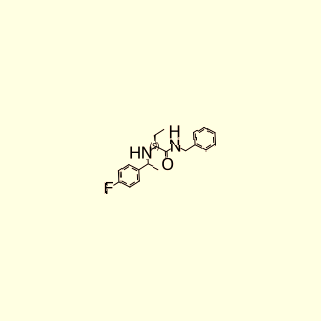 CC[C@H](NC(C)c1ccc(F)cc1)C(=O)NCc1ccccc1